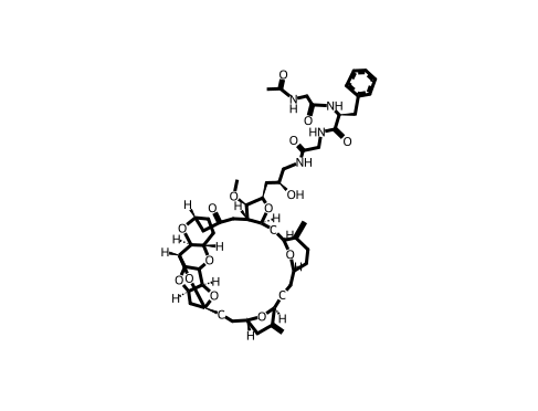 C=C1C[C@@H]2CC[C@@]34C[C@H]5OC6C(O[C@H]7CC[C@H](CC(=O)C[C@@H]8[C@@H](OC)[C@@H](C[C@H](O)CNC(=O)CNC(=O)[C@H](Cc9ccccc9)NC(=O)CNC(C)=O)O[C@H]8C[C@H]8O[C@H](CCC8=C)CC[C@@H]1O2)O[C@@H]7[C@@H]6O3)[C@H]5O4